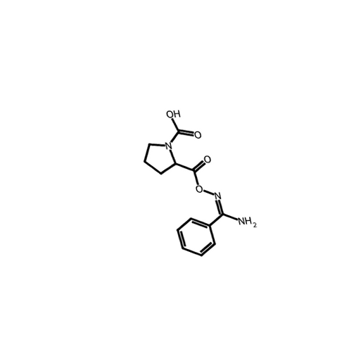 N/C(=N/OC(=O)C1CCCN1C(=O)O)c1ccccc1